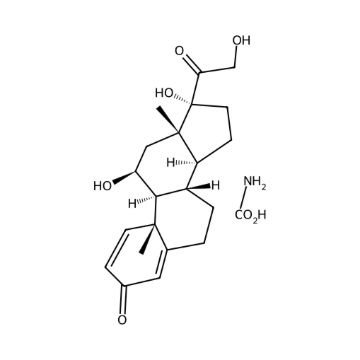 C[C@]12C=CC(=O)C=C1CC[C@@H]1[C@@H]2[C@@H](O)C[C@@]2(C)[C@H]1CC[C@]2(O)C(=O)CO.NC(=O)O